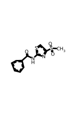 CS(=O)(=O)c1csc(NC(=O)c2ccccc2)n1